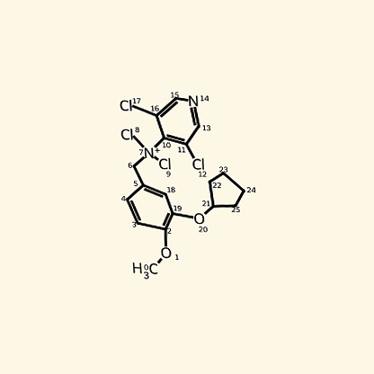 COc1ccc(C[N+](Cl)(Cl)c2c(Cl)cncc2Cl)cc1OC1CCCC1